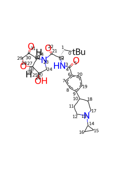 CC(C)(C)C[C@H](NC(=O)c1ccc(C2CCN(C3CC3)CC2)cc1)C(=O)N1C[C@@H](O)[C@H]2OCC(=O)[C@H]21